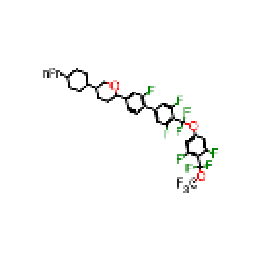 CCCC1CCC(C2CCC(c3ccc(-c4cc(F)c(C(F)(F)Oc5cc(F)c(C(F)(F)OC(F)(F)F)c(F)c5)c(F)c4)c(F)c3)OC2)CC1